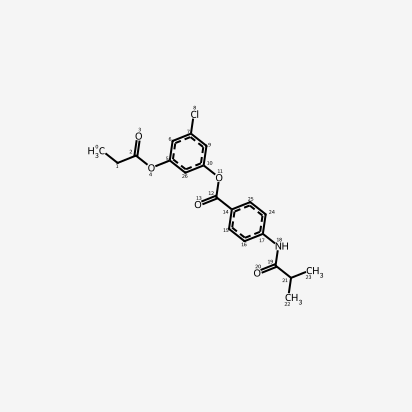 CCC(=O)Oc1cc(Cl)cc(OC(=O)c2ccc(NC(=O)C(C)C)cc2)c1